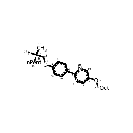 CCCCCCCCOc1cnc(-c2ccc(OC[C@@](C)(F)CCCCC)cc2)nc1